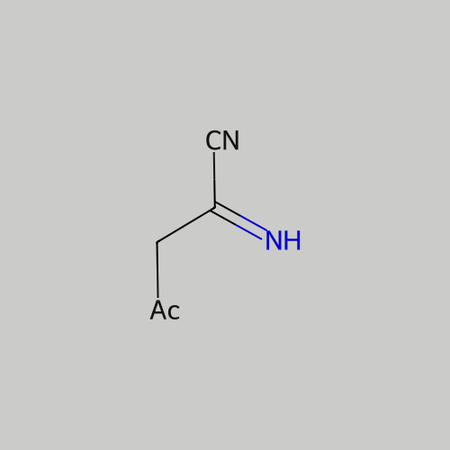 CC(=O)CC(=N)C#N